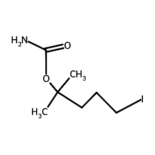 CC(C)(CCCI)OC(N)=O